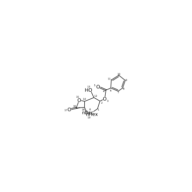 CCCCCCCCCCCC(OC(=O)c1ccccc1)C(O)C1OC(=O)C1CCCCCC